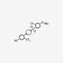 C[C@@H]1CN(c2ccc(C#N)cc2C(F)(F)F)CCN1S(=O)(=O)c1ccc(OC(C)(C)C)cc1Cl